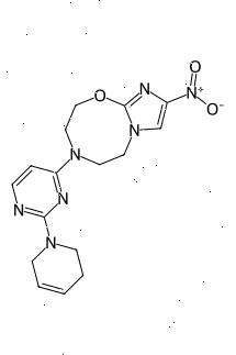 O=[N+]([O-])c1cn2c(n1)OCCN(c1ccnc(N3CC=CCC3)n1)CC2